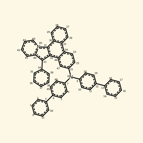 c1ccc(-c2ccc(N(c3ccc(-c4ccccc4)cc3)c3ccc4c5ccccc5c5c(c(-c6ccccc6)c6ccccn65)c4c3)cc2)cc1